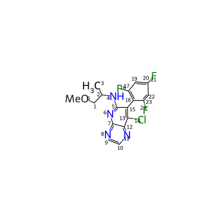 COCC(C)Nc1nc2nccnc2c(Cl)c1-c1c(F)cc(F)cc1F